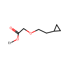 CCOC(=O)COCCC1CC1